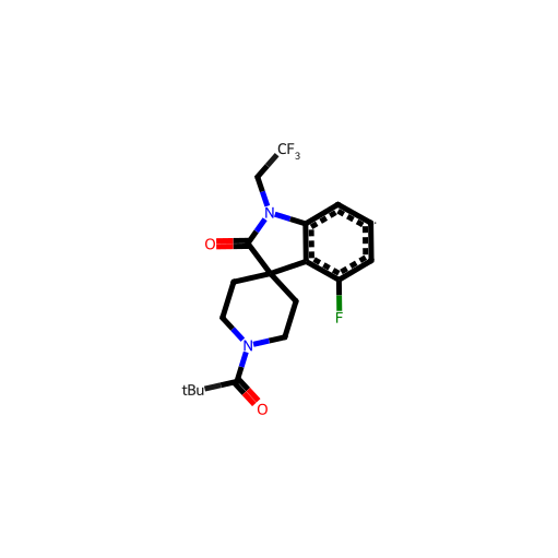 CC(C)(C)C(=O)N1CCC2(CC1)C(=O)N(CC(F)(F)F)c1c[c]cc(F)c12